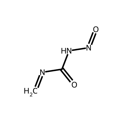 C=NC(=O)NN=O